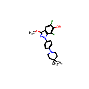 COc1nn(-c2ccc(N3CCC(C)(C)CC3)cc2)c2c(F)c(O)c(F)cc12